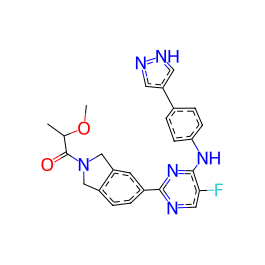 COC(C)C(=O)N1Cc2ccc(-c3ncc(F)c(Nc4ccc(-c5cn[nH]c5)cc4)n3)cc2C1